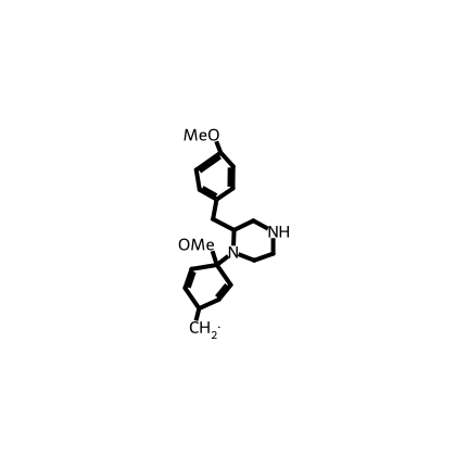 [CH2]C1C=CC(OC)(N2CCNCC2Cc2ccc(OC)cc2)C=C1